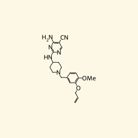 C=CCOc1cc(CN2CCC(Nc3ncc(C#N)c(N)n3)CC2)ccc1OC